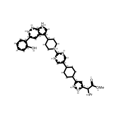 COC(=O)C(c1cc(C2CCC(c3cnc(N4CCC(c5c[nH]c6nnc(-c7ccccc7O)cc56)CC4)nc3)CC2)no1)C(C)C